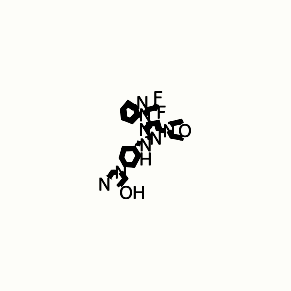 N#CCN(CCO)[C@H]1CC[C@H](CNc2nc(N3CCOCC3)cc(-n3c(C(F)F)nc4ccccc43)n2)CC1